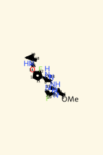 COCc1cn2c(Nc3cc([C@@H]4CC[C@H](OCNC5(C)CC5)[C@H]4F)[nH]n3)ncc(F)c2n1